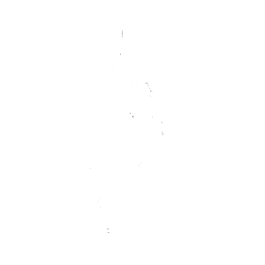 C[C@@H](NC(=O)C1CC1c1c[nH]c2ccc(F)cc12)c1ccc(OCC(F)(F)F)cn1